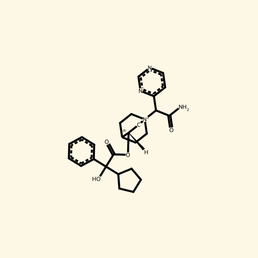 NC(=O)C(c1ccncn1)[N+]12CCC(CC1)[C@@H](OC(=O)C(O)(c1ccccc1)C1CCCC1)C2